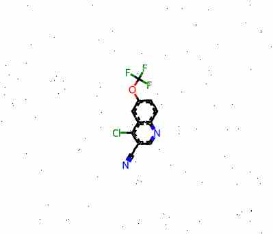 N#Cc1cnc2ccc(OC(F)(F)F)cc2c1Cl